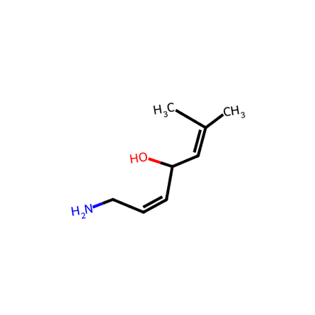 CC(C)=CC(O)/C=C\CN